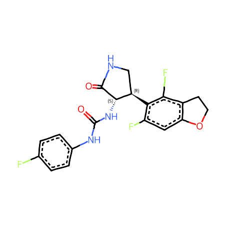 O=C(Nc1ccc(F)cc1)N[C@@H]1C(=O)NC[C@H]1c1c(F)cc2c(c1F)CCO2